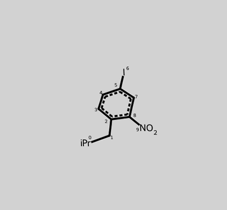 CC(C)Cc1ccc(I)cc1[N+](=O)[O-]